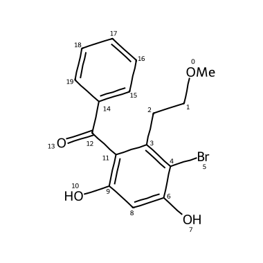 COCCc1c(Br)c(O)cc(O)c1C(=O)c1ccccc1